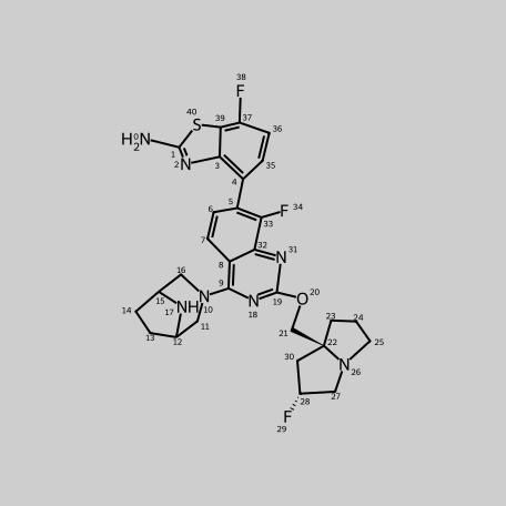 Nc1nc2c(-c3ccc4c(N5CC6CCC(C5)N6)nc(OC[C@@]56CCCN5C[C@H](F)C6)nc4c3F)ccc(F)c2s1